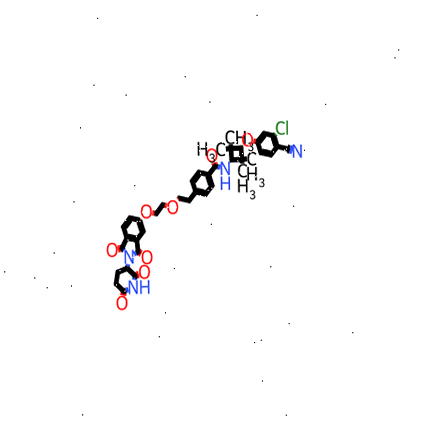 CC1(C)[C@H](NC(=O)c2ccc(CCOCCOc3ccc4c(c3)C(=O)N(C3CCC(=O)NC3=O)C4=O)cc2)C(C)(C)[C@H]1Oc1ccc(C#N)c(Cl)c1